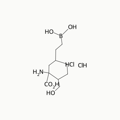 Cl.Cl.NC1(C(=O)O)CC(CCB(O)O)CCC1CO